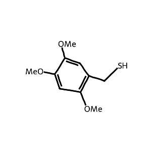 COc1cc(OC)c(OC)cc1CS